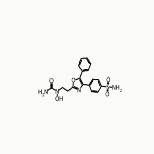 NC(=O)N(O)CCc1nc(-c2ccc(S(N)(=O)=O)cc2)c(-c2ccccc2)o1